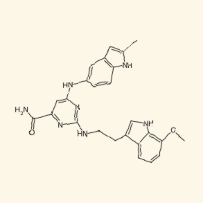 COc1cccc2c(CCNc3nc(Nc4ccc5[nH]c(C)cc5c4)cc(C(N)=O)n3)c[nH]c12